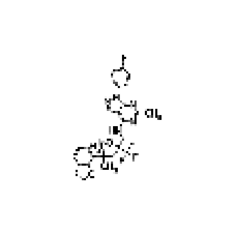 Cc1nc(NCC(O)(CC(C)(C)c2cccc3c2OCC3)C(F)(F)F)c2cnn(-c3ccc(F)cc3)c2n1